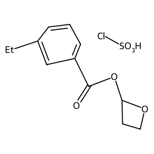 CCc1cccc(C(=O)OC2CCO2)c1.O=S(=O)(O)Cl